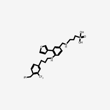 CC(C)Cc1ccc(CCCNc2ccc(CNCCCP(=O)(O)O)cc2-c2ccoc2)cc1C(F)(F)F